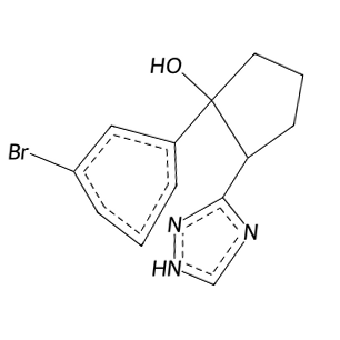 OC1(c2cccc(Br)c2)CCCC1c1nc[nH]n1